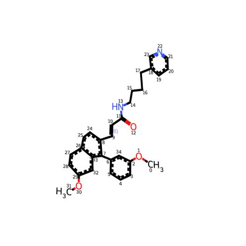 COc1cccc(-c2c(/C=C/C(=O)NCCCCc3cccnc3)ccc3ccc(OC)cc23)c1